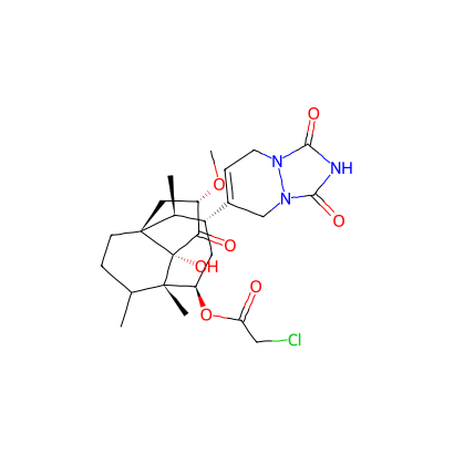 CO[C@H]1C[C@@]23CCC(C)[C@@](C)([C@H](OC(=O)CCl)C[C@@H](C4=CCn5c(=O)[nH]c(=O)n5C4)[C@@H]2C)[C@]3(O)C1=O